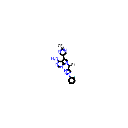 CCC(c1cn(-c2ccccc2F)nn1)n1cc(-c2cnc(C(F)(F)F)nc2)c2c(N)ncnc21